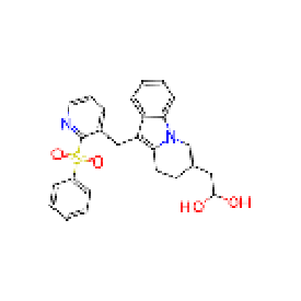 O=S(=O)(c1ccccc1)c1ncccc1Cc1c2n(c3ccccc13)CC(CC(O)O)CC2